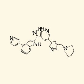 c1cc(-c2ccncc2)c2cc(-c3n[nH]c4ncc(-c5cncc(CN6CCCCC6)c5)cc34)[nH]c2c1